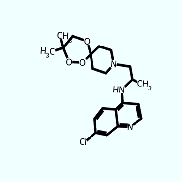 CC(CN1CCC2(CC1)OCC(C)(C)OO2)Nc1ccnc2cc(Cl)ccc12